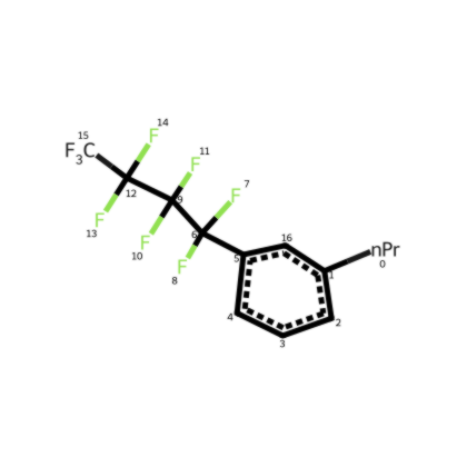 [CH2]CCc1cccc(C(F)(F)C(F)(F)C(F)(F)C(F)(F)F)c1